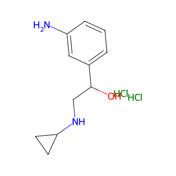 Cl.Cl.Nc1cccc(C(O)CNC2CC2)c1